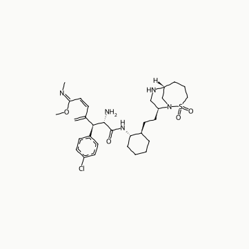 C=C(/C=C\C(=N/C)OC)[C@H](c1ccc(Cl)cc1)[C@H](N)C(=O)N[C@H]1CCCC[C@@H]1CC[C@H]1CN[C@@H]2CCCS(=O)(=O)N1C2